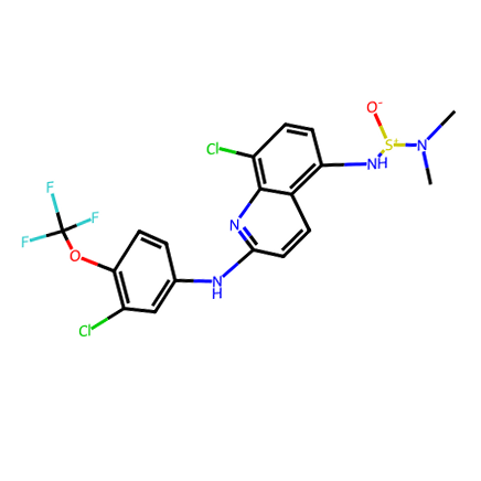 CN(C)[S+]([O-])Nc1ccc(Cl)c2nc(Nc3ccc(OC(F)(F)F)c(Cl)c3)ccc12